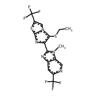 CCSc1c(-c2nc3cc(C(F)(F)F)ncc3n2C)nc2sc(C(F)(F)F)cn12